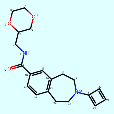 O=C(NCC1COCCO1)c1ccc2c(c1)CCN(C1=CC=C1)CC2